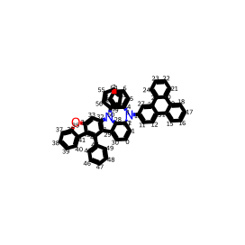 C1=C[C@H](N(c2ccccc2)c2ccc3c4ccccc4c4ccccc4c3c2)C2C(=C1)c1c(cc3oc4ccccc4c3c1-c1ccccc1)N2c1ccccc1